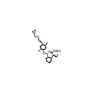 CC=C(C(=O)OC)c1ccccc1COc1cc(C)c(C=NOCC2CC2)cc1C